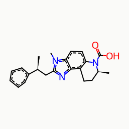 C[C@@H](Cc1nc2c3c(ccc2n1C)N(C(=O)O)[C@@H](C)CC3)c1ccccc1